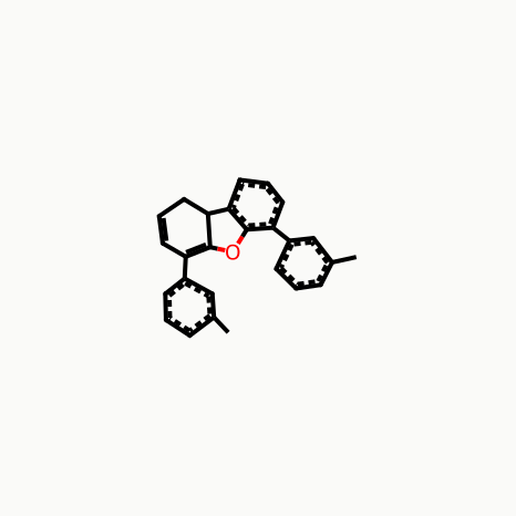 Cc1cccc(C2=C3Oc4c(-c5cccc(C)c5)cccc4C3CC=C2)c1